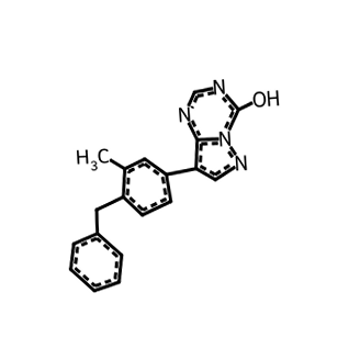 Cc1cc(-c2cnn3c(O)ncnc23)ccc1Cc1ccccc1